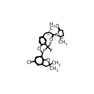 C[C@@H]1CCC(=O)N1C(=O)[C@@H](C)Cc1ccc(OCc2cc(Cl)cc3c2OC(C)(C)C3)c(C(F)(F)F)c1